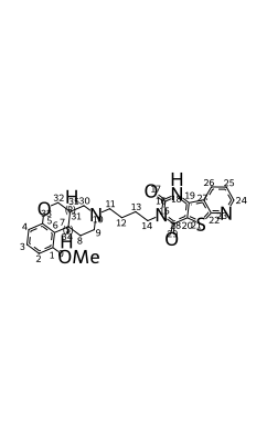 COc1cccc2c1[C@H]1CCN(CCCCn3c(=O)[nH]c4c(sc5ncccc54)c3=O)C[C@@H]1CO2